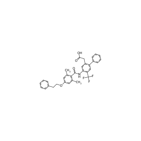 Cc1cc(OCCc2ccccc2)cc(C)c1C(=O)Nc1cc(CC(=O)O)c(-c2ccccc2)cc1C(F)(F)F